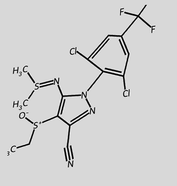 CC[S+]([O-])c1c(C#N)nn(-c2c(Cl)cc(C(F)(F)F)cc2Cl)c1N=S(C)C